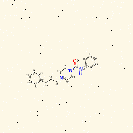 O=C(Nc1ccccc1)N1CCN(CCCc2ccccc2)CC1